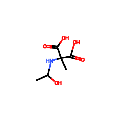 CC(O)NC(C)(C(=O)O)C(=O)O